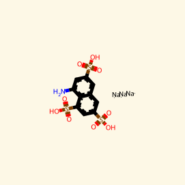 Nc1cc(S(=O)(=O)O)cc2cc(S(=O)(=O)O)cc(S(=O)(=O)O)c12.[Na].[Na].[Na]